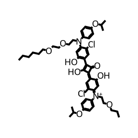 CCCCCCOCCOCCN(c1ccc(OC(C)C)cc1)c1cc(O)c(C2=C(O)/C(=C3C=C(Cl)/C(=[N+](/CCOCCC)c4ccc(OC(C)C)cc4)C=C\3O)C2=O)cc1Cl